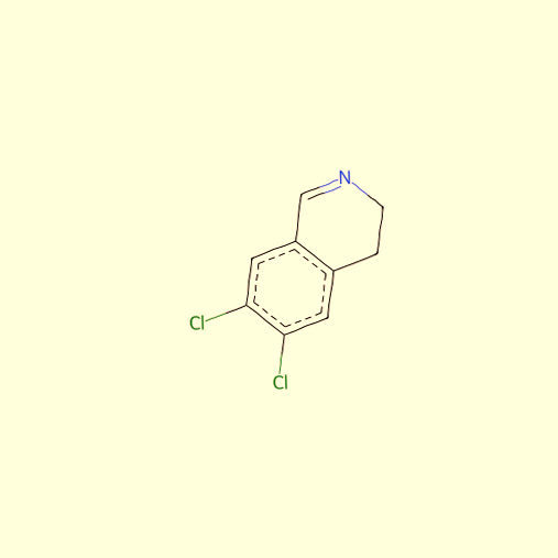 Clc1cc2c(cc1Cl)CCN=C2